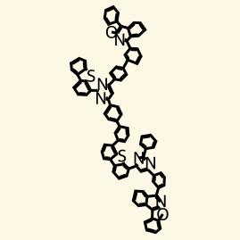 c1ccc(-c2nc(-c3cccc(-c4nc5oc6ccccc6c5c5ccccc45)c3)cc(-c3cccc4c3sc3c(-c5cccc(-c6ccc(-c7cc(-c8ccc(-c9cccc(-c%10nc%11oc%12ccccc%12c%11c%11ccccc%10%11)c9)cc8)nc(-c8cccc9c8sc8ccccc89)n7)cc6)c5)cccc34)n2)cc1